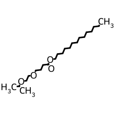 CCCCCCCCCCCCCCOC(=O)CCCOCCOC(C)C